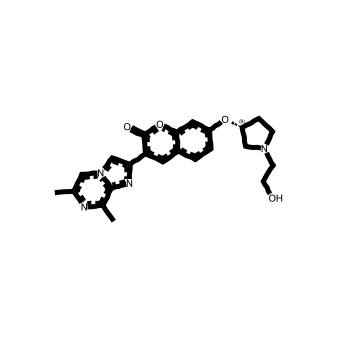 Cc1cn2cc(-c3cc4ccc(O[C@@H]5CCN(CCO)C5)cc4oc3=O)nc2c(C)n1